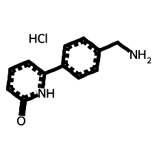 Cl.NCc1ccc(-c2cccc(=O)[nH]2)cc1